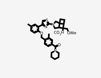 COCC1(C(=O)O)C2CCC23CN(c2nc(-c4cc(C)ccc4OCc4ccc(C(=O)N5CCCCC5)cc4C)cs2)CC31